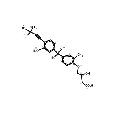 CCC(CC)(c1ccc(C#CC(O)(C(F)(F)F)C(F)(F)F)c(C)c1)c1ccc(OC[C@@H](O)CC(=O)O)c(C)c1